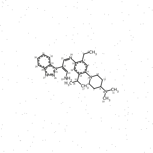 CCc1cc(N2CCC(N(C)C)CC2)c(C(C)C)cc1/N=C\C(=C\N)n1nnc2ccccc21